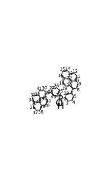 O=[PH](c1cccc(-c2ccc3ccc4cccc5ccc2c3c45)c1)c1cccc(-c2ccc3ccc4cccc5ccc2c3c45)c1